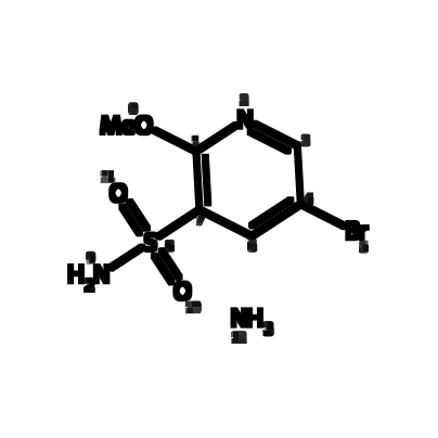 COc1ncc(Br)cc1S(N)(=O)=O.N